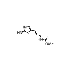 COC(=O)NC/C=C/c1c[nH]c(=N)s1